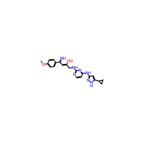 COc1ccc(C(=N)/C=C(\O)CNc2nccc(Nc3cc(C4CC4)[nH]n3)n2)cc1